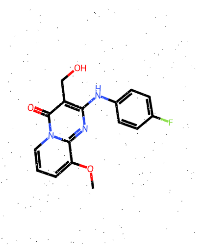 COc1cccn2c(=O)c(CO)c(Nc3ccc(F)cc3)nc12